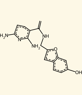 C=C(NCc1cc2ccc(O)cc2o1)c1ccc(N)nc1N